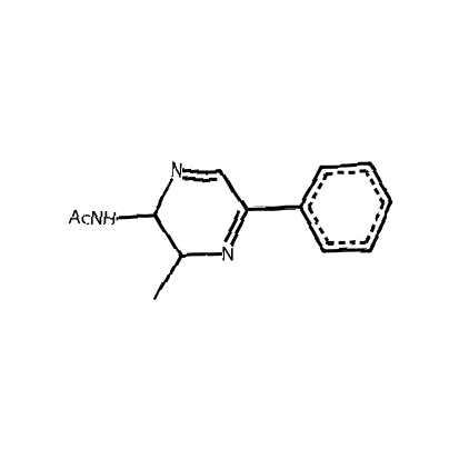 CC(=O)NC1N=CC(c2ccccc2)=NC1C